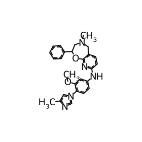 COc1cc(Nc2ccc3c(n2)OC(c2ccccc2)CN(C)C3)ccc1-n1cnc(C)c1